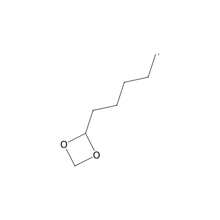 [CH2]CCCCC1OCO1